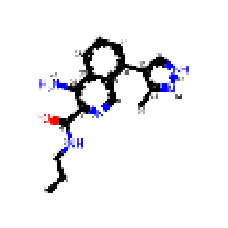 CCCNC(=O)c1ncc2c(-c3c[nH]nc3C)cccc2c1N